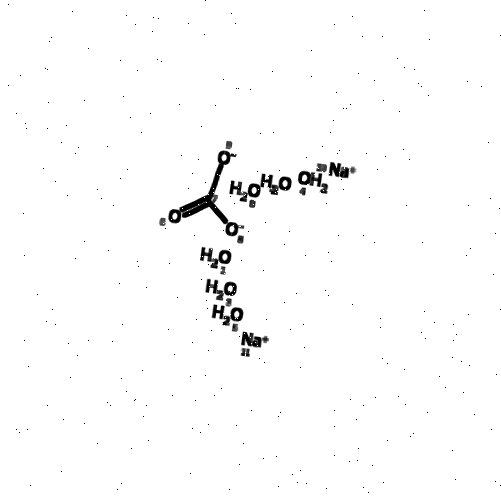 O.O.O.O.O.O.O=C([O-])[O-].[Na+].[Na+]